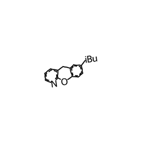 CCC(C)c1ccc2c(c1)Cc1cccnc1O2